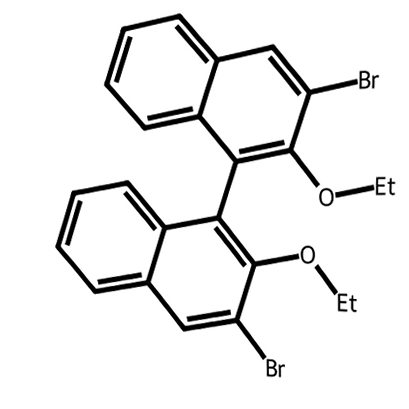 CCOc1c(Br)cc2ccccc2c1-c1c(OCC)c(Br)cc2ccccc12